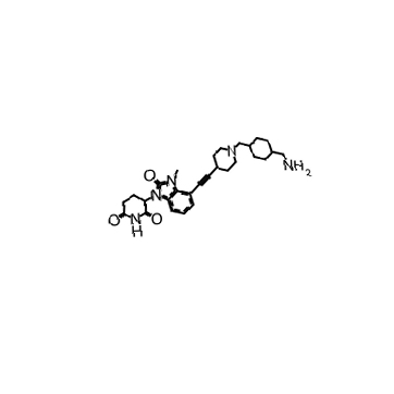 Cn1c(=O)n(C2CCC(=O)NC2=O)c2cccc(C#CC3CCN(CC4CCC(CN)CC4)CC3)c21